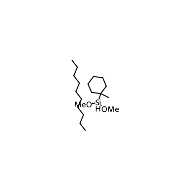 CCCCCCCCCC.CO[SiH](OC)C1(C)CCCCC1